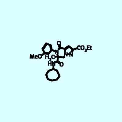 CCOC(=O)c1cc2n(n1)CC(C)(C(=O)NC1CCCCCCC1)N(c1cccc(OC)c1)C2=O